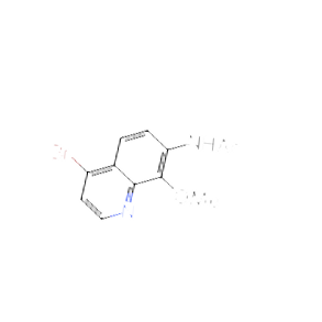 COc1c(NC(C)=O)ccc2c(Br)ccnc12